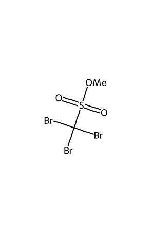 COS(=O)(=O)C(Br)(Br)Br